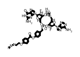 BP1(=O)OC[C@H]2O[C@@H](n3cnc4c(N)ncnc43)[C@H](F)[C@@H]2O[P@@](=O)(SCc2ccc(OC(=O)c3ccc(OCCN=[N+]=[N-])cc3)cc2)OC[C@H]2O[C@@H](n3cnc4c(=O)[nH]c(N)nc43)[C@H](F)[C@@H]2O1